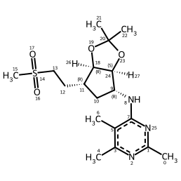 Cc1nc(C)c(C)c(N[C@@H]2C[C@H](CCS(C)(=O)=O)[C@H]3OC(C)(C)O[C@H]32)n1